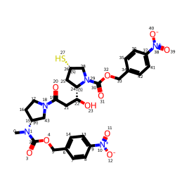 CN(C(=O)OCc1ccc([N+](=O)[O-])cc1)[C@@H]1CCN(C(=O)CC(O)[C@@H]2C[C@H](S)CN2C(=O)OCc2ccc([N+](=O)[O-])cc2)C1